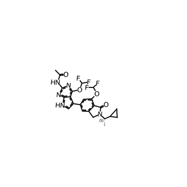 CC(=O)Nc1nc(OC(F)F)c2c(-c3cc4c(c(OC(F)F)c3)C(=O)N([C@@H](C)C3CC3)C4)c[nH]c2n1